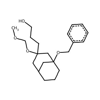 COCOC1(CCCO)CC2CCCC(OCc3ccccc3)(C2)C1